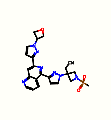 CS(=O)(=O)N1CC(CC#N)(n2ccc(-c3nc(-c4ccn(C5COC5)n4)cc4ncccc34)n2)C1